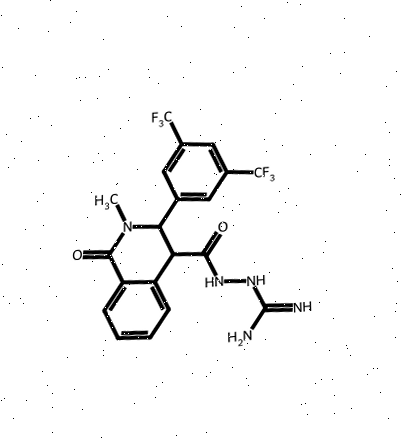 CN1C(=O)c2ccccc2C(C(=O)NNC(=N)N)C1c1cc(C(F)(F)F)cc(C(F)(F)F)c1